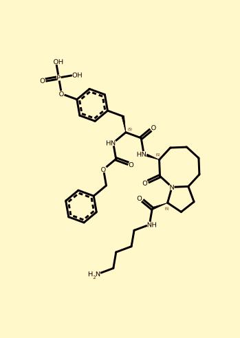 NCCCCNC(=O)[C@@H]1CCC2CCCC[C@H](NC(=O)[C@H](Cc3ccc(OP(=O)(O)O)cc3)NC(=O)OCc3ccccc3)C(=O)N21